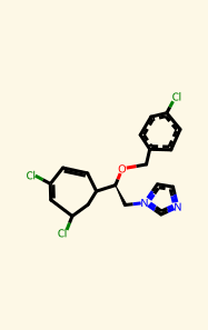 ClC1=CC(Cl)CC([C@H](Cn2ccnc2)OCc2ccc(Cl)cc2)C=C1